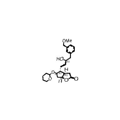 COCc1cccc(C[C@H](O)C=C[C@@H]2[C@H]3CC(=O)O[C@H]3C[C@H]2OC2CCCCO2)c1